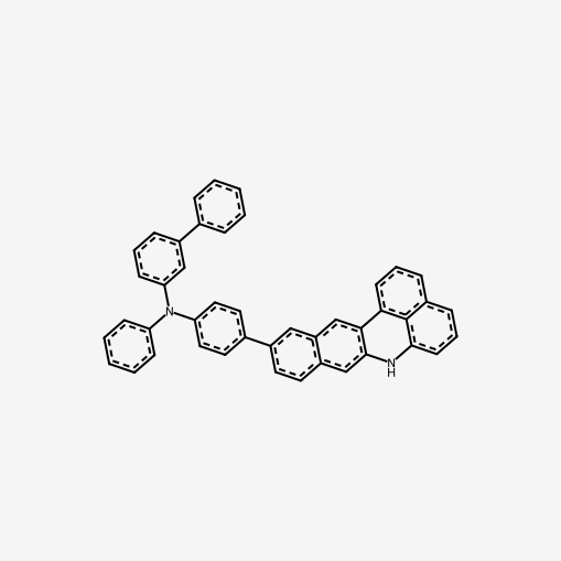 c1ccc(-c2cccc(N(c3ccccc3)c3ccc(-c4ccc5cc6c(cc5c4)-c4cccc5cccc(c45)N6)cc3)c2)cc1